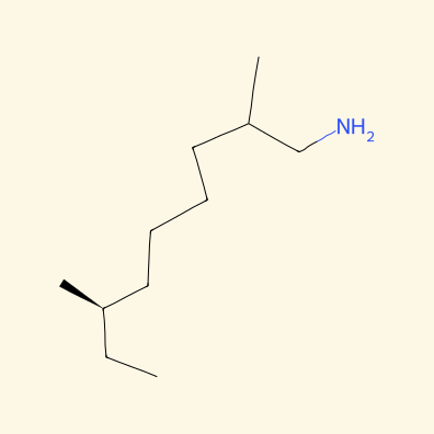 CC[C@@H](C)CCCCC(C)CN